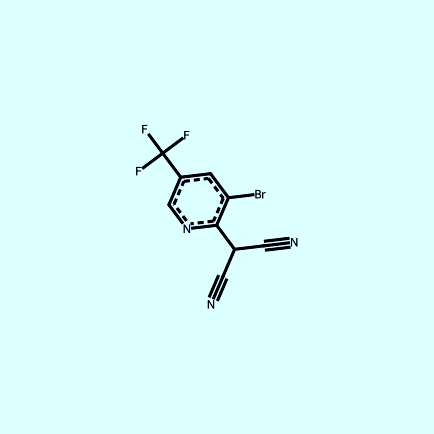 N#CC(C#N)c1ncc(C(F)(F)F)cc1Br